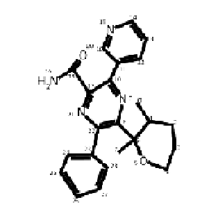 CC1CCCOC1(C)c1nc(-c2cccnc2)c(C(N)=O)nc1-c1ccccc1